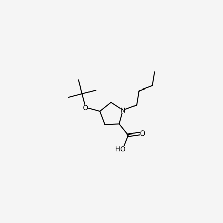 CCCCN1CC(OC(C)(C)C)CC1C(=O)O